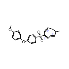 COc1ccc(Oc2ccc(S(=O)(=O)C3=C/C=C/C(C)C/C=C\3)cc2)cc1